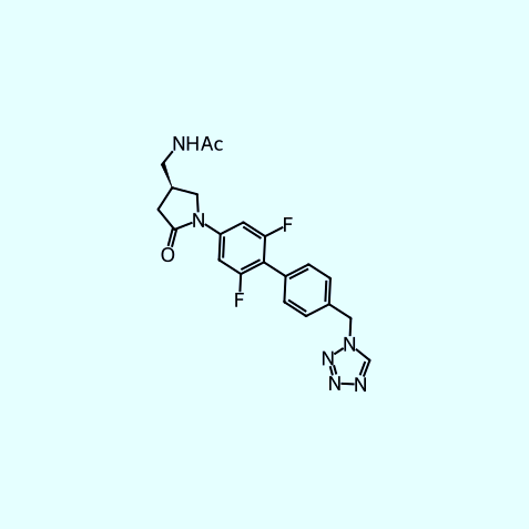 CC(=O)NC[C@@H]1CC(=O)N(c2cc(F)c(-c3ccc(Cn4cnnn4)cc3)c(F)c2)C1